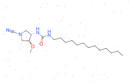 CCCCCCCCCCCCCNC(=O)N[C@H]1CN(C#N)C[C@@H]1OC